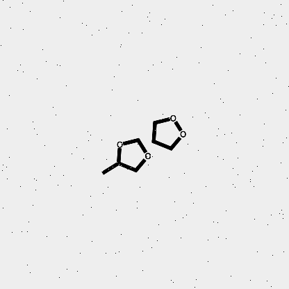 C1COOC1.CC1COCO1